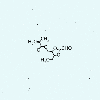 C=CC1OC(C=O)OC1COC(=O)C(=C)C